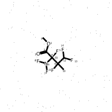 COC(=O)[C@@](F)(N(F)F)C(C)(F)C(F)F